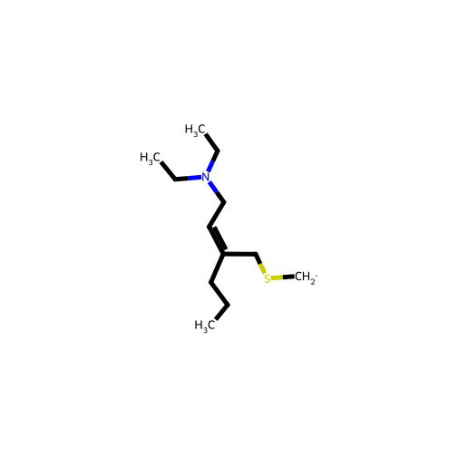 [CH2]SC/C(=C\CN(CC)CC)CCC